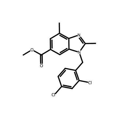 COC(=O)c1cc(C)c2nc(C)n(Cc3ccc(Cl)cc3Cl)c2c1